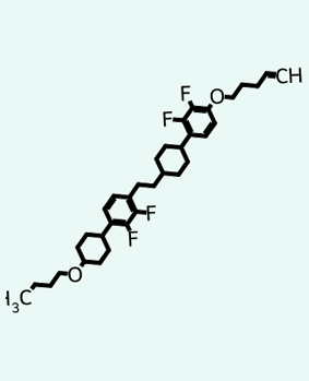 C=CCCCOc1ccc(C2CCC(CCc3ccc(C4CCC(OCCCC)CC4)c(F)c3F)CC2)c(F)c1F